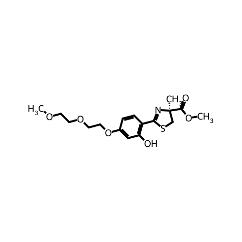 COCCOCCOc1ccc(C2=N[C@@](C)(C(=O)OC)CS2)c(O)c1